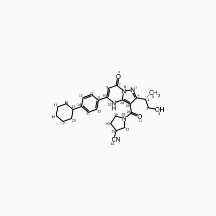 C[C@H](CO)c1nn2c(=O)cc(-c3ccc(C4CCCCC4)cc3)[nH]c2c1C(=O)N1CCC(C#N)C1